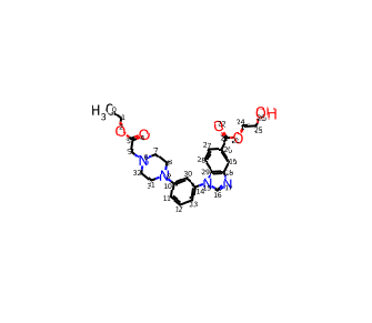 CCOC(=O)CN1CCN(c2cccc(-n3cnc4cc(C(=O)OCCO)ccc43)c2)CC1